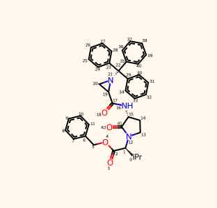 CC(C)[C@@H](C(=O)OCc1ccccc1)N1CC[C@@H](NC(=O)C2C[N@]2C(c2ccccc2)(c2ccccc2)c2ccccc2)C1=O